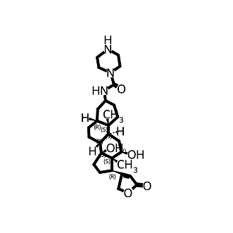 C[C@]12CCC(NC(=O)N3CCNCC3)C[C@H]1CC[C@@H]1[C@@H]2C[C@@H](O)[C@]2(C)[C@@H](C3=CC(=O)OC3)CC[C@]12O